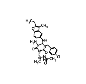 CCc1oc2ccc(NC3N(N)C(=O)N(C[C@H](C)NC(C)=O)C(=O)N3Cc3ccc(Cl)cc3)cc2c1C